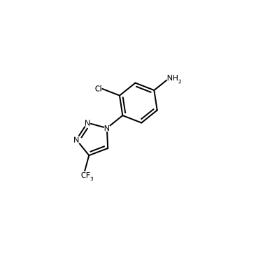 Nc1ccc(-n2cc(C(F)(F)F)nn2)c(Cl)c1